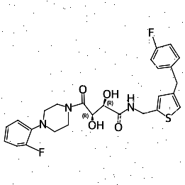 O=C(NCc1cc(Cc2ccc(F)cc2)cs1)[C@H](O)[C@@H](O)C(=O)N1CCN(c2ccccc2F)CC1